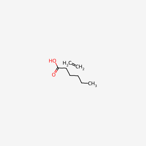 C=C.CCCCCC(=O)O